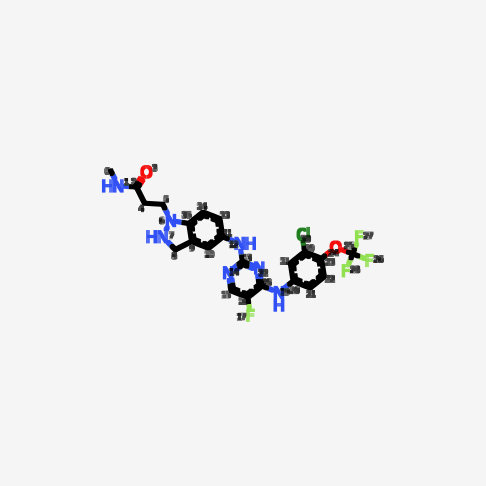 CNC(=O)CCN1NCc2cc(Nc3ncc(F)c(Nc4ccc(OC(F)(F)F)c(Cl)c4)n3)ccc21